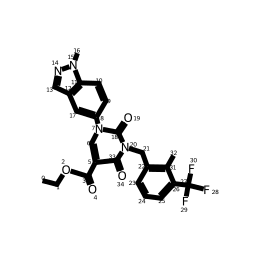 CCOC(=O)c1cn(-c2ccc3c(cnn3C)c2)c(=O)n(Cc2cccc(C(F)(F)F)c2C)c1=O